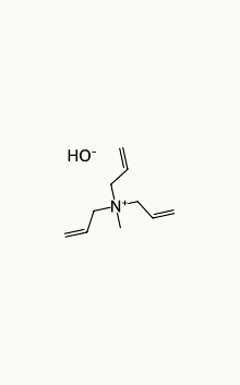 C=CC[N+](C)(CC=C)CC=C.[OH-]